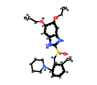 CCOc1cc2nc([S+]([O-])Cc3c(C)cccc3N3CCCCC3)[nH]c2cc1OCC